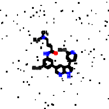 COc1cc(NC(=O)/C=C/CN(C)C)cc(-c2cnc3[nH]cc(-c4ccnc(OC)c4)c3c2)c1